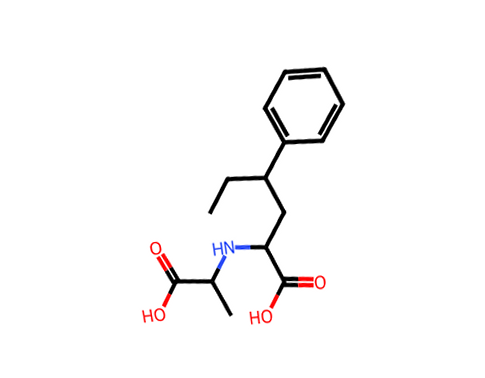 CCC(CC(NC(C)C(=O)O)C(=O)O)c1ccccc1